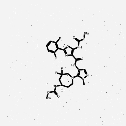 Cn1ncc(NC(=O)c2nc(-c3c(F)cccc3F)sc2NC(=O)OC(C)(C)C)c1N1CC[C@@](C)(NC(=O)OC(C)(C)C)CC(F)(F)C1